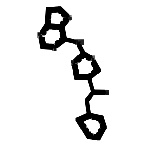 O=C(Cc1ccccc1)c1cnc(Nc2ncnc3ccsc23)nc1